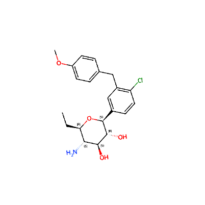 CC[C@H]1O[C@@H](c2ccc(Cl)c(Cc3ccc(OC)cc3)c2)[C@H](O)[C@@H](O)[C@@H]1N